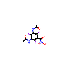 CC(=O)Nc1c(I)c(NC(C)=O)c(I)c(C(=O)[N+](=O)O)c1I